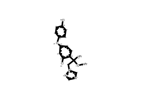 CCCOC(CCC)(Cn1cncn1)c1ccc(Oc2ccc(Cl)cc2)cc1Cl